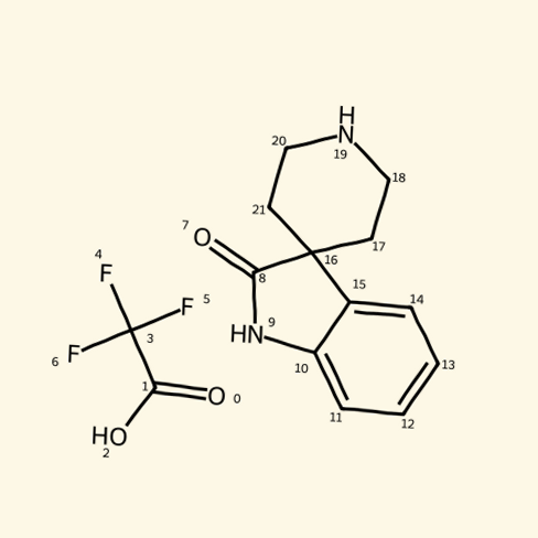 O=C(O)C(F)(F)F.O=C1Nc2ccccc2C12CCNCC2